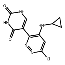 O=c1[nH]cc(-c2nnc(Cl)cc2NC2CC2)c(=O)[nH]1